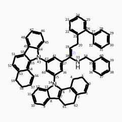 C1=CC2=C(CC1)c1c(c3ccccc3n1-c1cc(/C(=C/Cc3ccccc3-c3ccccc3)NCc3ccccc3)cc(-n3c4ccccc4c4ccc5c(c43)C=CCC5)c1)CC2